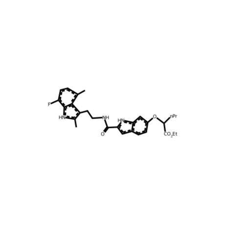 CCCC(Oc1ccc2cc(C(=O)NCCc3c(C)[nH]c4c(F)ccc(C)c34)[nH]c2c1)C(=O)OCC